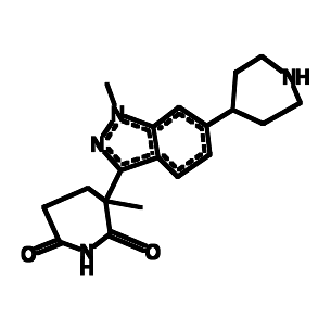 Cn1nc(C2(C)CCC(=O)NC2=O)c2ccc(C3CCNCC3)cc21